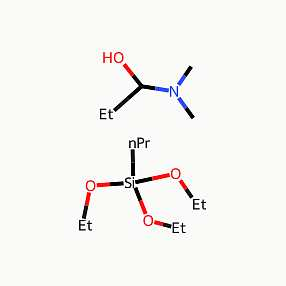 CCC(O)N(C)C.CCC[Si](OCC)(OCC)OCC